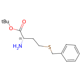 CC(C)(C)OC(=O)[C@@H](N)CCSCc1ccccc1